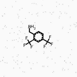 BCc1ccc(C(F)(F)F)cc1C(F)(F)F